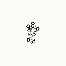 COC(=O)Nc1ccccc1CC[C@@H]1CO[C@H](CCc2ccccc2NC(=O)[C@@H](NC(=O)OC)C(c2ccccc2)c2ccccc2)CN1